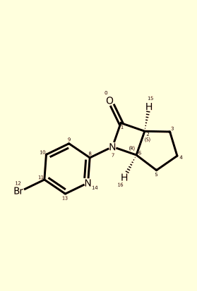 O=C1[C@H]2CCC[C@H]2N1c1ccc(Br)cn1